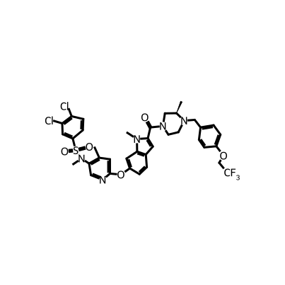 Cc1cc(Oc2ccc3cc(C(=O)N4CCN(Cc5ccc(OCC(F)(F)F)cc5)[C@H](C)C4)n(C)c3c2)ncc1N(C)S(=O)(=O)c1ccc(Cl)c(Cl)c1